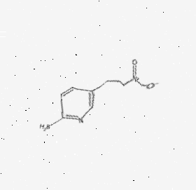 Bc1ccc(CC[N+](=O)[O-])cn1